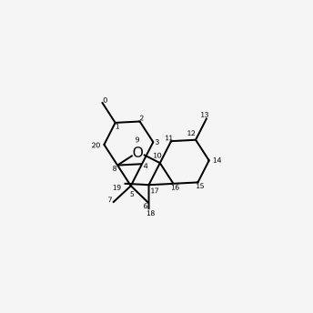 CC1CCC2C(C)(C)C2(OC23CC(C)CCC2C3(C)C)C1